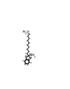 C=CCCCCCCCCCC1(N)N=c2ccccc2=N1